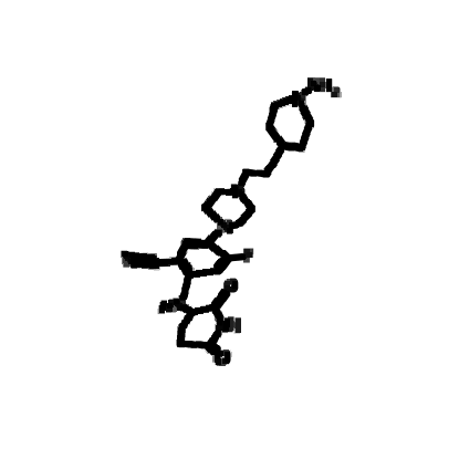 N#Cc1cc(N2CCN(CCC3CCN(N)CC3)CC2)c(F)cc1NC1CCC(=O)NC1=O